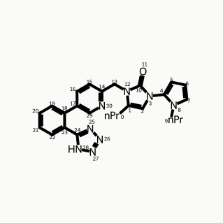 CCCc1cn(-c2cccn2CCC)c(=O)n1Cc1ccc(-c2ccccc2-c2nnn[nH]2)cn1